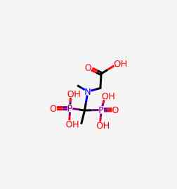 CN(CC(=O)O)C(C)(P(=O)(O)O)P(=O)(O)O